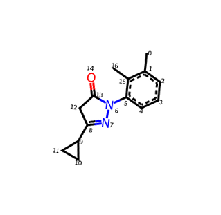 Cc1cccc(N2N=C(C3CC3)CC2=O)c1C